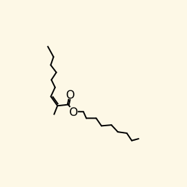 CCCCCCC=C(C)C(=O)OCCCCCCCCC